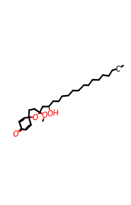 CCCCCCCCCCCCCCC[C@@H](O)CC1(OC)CCC2(C=CC(=O)C=C2)O1